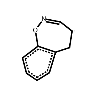 [C]1C=NOc2ccccc2C1